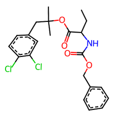 CCC(NC(=O)OCc1ccccc1)C(=O)OC(C)(C)Cc1ccc(Cl)c(Cl)c1